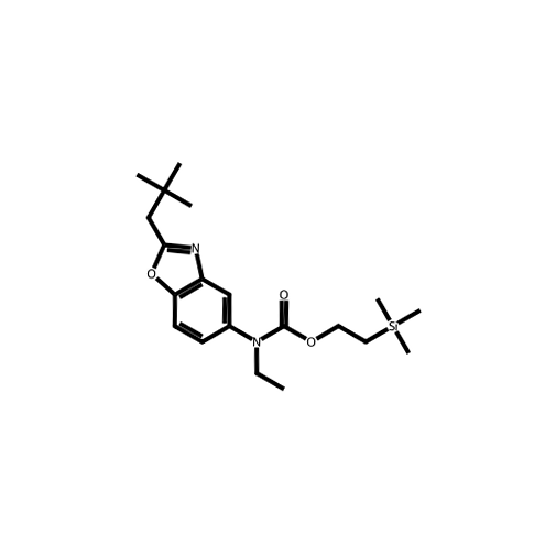 CCN(C(=O)OCC[Si](C)(C)C)c1ccc2oc(CC(C)(C)C)nc2c1